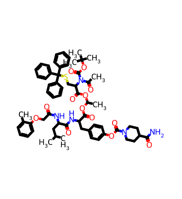 CC(=O)N(C(=O)OC(C)(C)C)C(CSC(c1ccccc1)(c1ccccc1)c1ccccc1)C(=O)OC(C)OC(=O)C(Cc1ccc(OC(=O)N2CCC(C(N)=O)CC2)cc1)NC(=O)C(CC(C)C)NC(=O)COc1ccccc1C